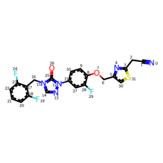 N#CCc1nc(COc2ccc(-n3ncn(Cc4c(F)cccc4F)c3=O)cc2F)cs1